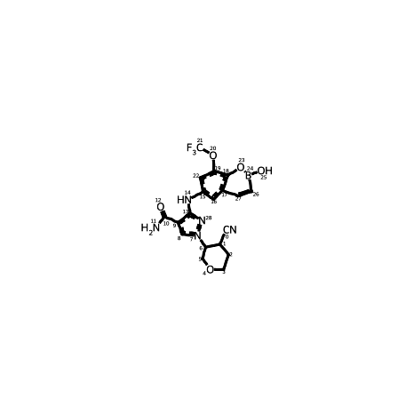 N#CC1CCOCC1n1cc(C(N)=O)c(Nc2cc3c(c(OC(F)(F)F)c2)OB(O)C=C3)n1